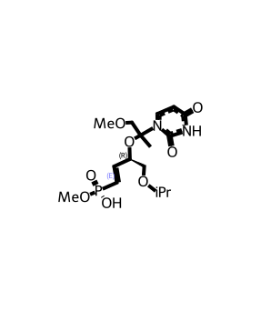 COCC(C)(O[C@H](/C=C/P(=O)(O)OC)COC(C)C)n1ccc(=O)[nH]c1=O